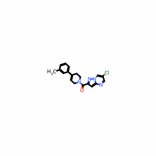 Cc1cccc(C2=CCN(C(=O)c3cc4ncc(Cl)cn4n3)CC2)c1